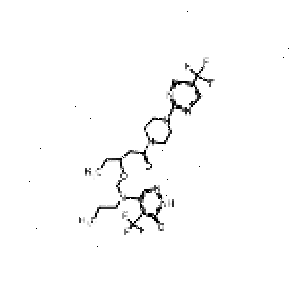 CCCN(COC(CC)CC(=O)N1CCN(c2ncc(C(F)(F)F)cn2)CC1)c1cn[nH]c(=O)c1C(F)(F)F